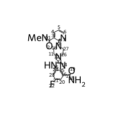 CNC(=O)c1cccnc1N1CCN(c2nc3c(C(N)=O)cc(F)cc3[nH]2)CC1